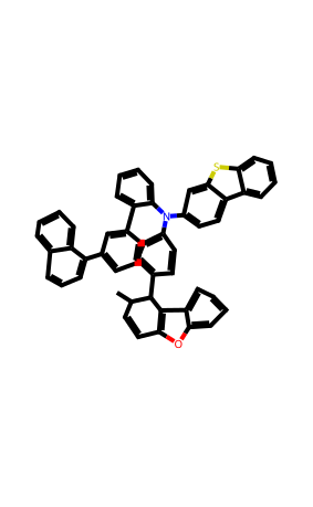 CC1C=Cc2oc3ccccc3c2C1c1ccc(N(c2ccc3c(c2)sc2ccccc23)c2ccccc2-c2cccc(-c3cccc4ccccc34)c2)cc1